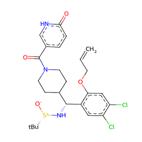 C=CCOc1cc(Cl)c(Cl)cc1[C@H](N[S@@+]([O-])C(C)(C)C)C1CCN(C(=O)c2ccc(=O)[nH]c2)CC1